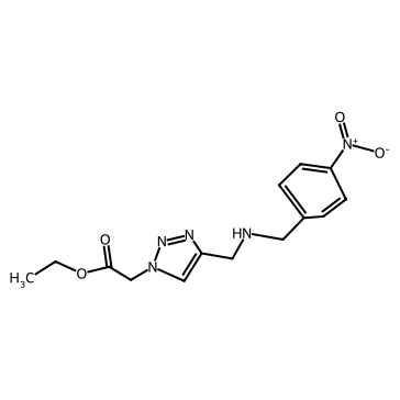 CCOC(=O)Cn1cc(CNCc2ccc([N+](=O)[O-])cc2)nn1